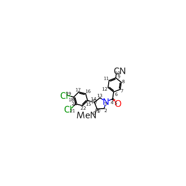 CN[C@H]1CN(C(=O)c2ccc(C#N)cc2)C[C@@H]1c1ccc(Cl)c(Cl)c1